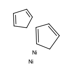 C1=CCC=C1.C1=CCC=C1.[Ni].[Ni]